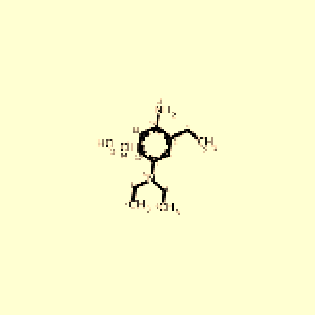 CCc1cc(N(CC)CC)ccc1N.Cl.Cl